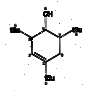 CC(C)(C)C1=CC(C(C)(C)C)[C@H](O)C(C(C)(C)C)C1